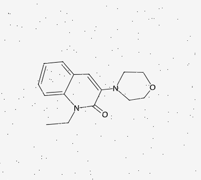 CCn1c(=O)c(N2CCOCC2)cc2ccccc21